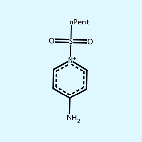 CCCCCS(=O)(=O)[n+]1ccc(N)cc1